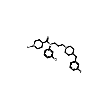 CC(=O)N1CCC(C(=O)N(CCCN2CCC(Cc3cccc(F)c3)CC2)c2cccc(Cl)c2)CC1